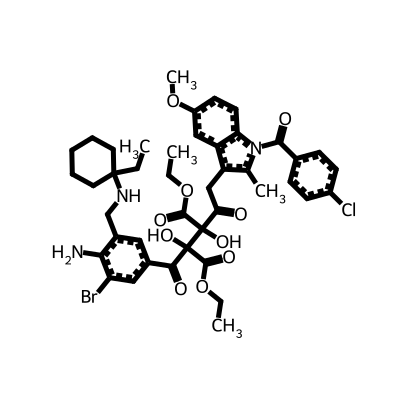 CCOC(=O)C(O)(C(=O)Cc1c(C)n(C(=O)c2ccc(Cl)cc2)c2ccc(OC)cc12)C(O)(C(=O)OCC)C(=O)c1cc(Br)c(N)c(CNC2(CC)CCCCC2)c1